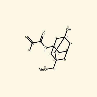 C=C(C)C(=O)OC12CC3CC(O)(CC(COC)(C3)C1)C2